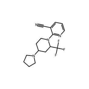 N#Cc1cccnc1N1CCC(N2CCCC2)CC1C(F)(F)F